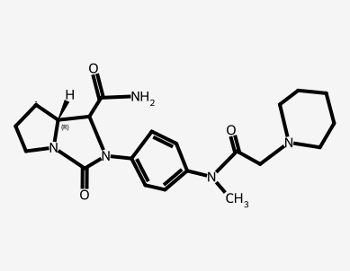 CN(C(=O)CN1CCCCC1)c1ccc(N2C(=O)N3CC[CH][C@@H]3C2C(N)=O)cc1